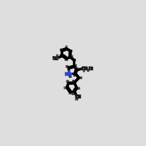 CCOC(=O)c1c(Cc2cccc(C#N)c2)c[nH]c1Cc1cccc(C#N)c1